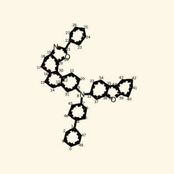 c1ccc(-c2ccc(N(c3ccc4c(ccc5ccc6nc(-c7ccccc7)oc6c54)c3)c3ccc4c(c3)oc3ccccc34)cc2)cc1